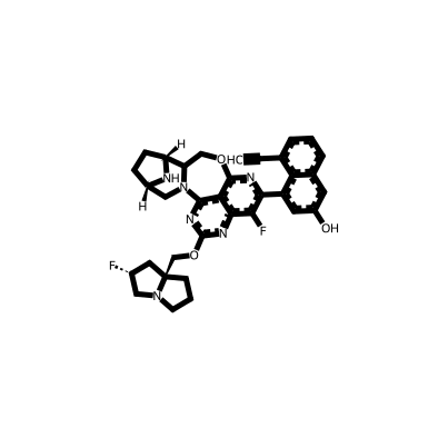 C#Cc1cccc2cc(O)cc(-c3nc4c5c(nc(OC[C@@]67CCCN6C[C@H](F)C7)nc5c3F)N3C[C@@H]5CC[C@@H](N5)C3CO4)c12